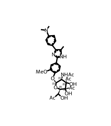 COc1cc(-c2nc(-c3ccc(N(C)C)cc3)c(C)[nH]2)ccc1O[C@@H]1O[C@H](C(O)C(C)=O)[C@](O)(C(C)=O)[C@@](O)(C(C)=O)[C@@H]1NC(C)=O